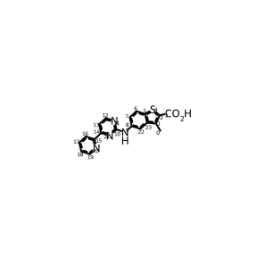 Cc1c(C(=O)O)sc2ccc(Nc3nccc(-c4ccccn4)n3)cc12